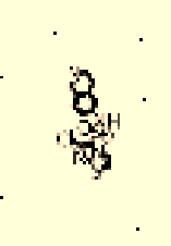 O=S(=O)(Nc1ccc2c(c1)CCN=C2)c1c(Cl)nc2sccn12